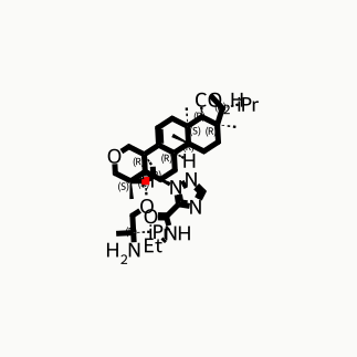 CCNC(=O)c1ncnn1[C@@H]1C[C@@]23COC[C@](C)([C@@H]2CC[C@H]2C3=CC[C@@]3(C)[C@H](C(=O)O)[C@@](C)([C@H](C)C(C)C)CC[C@]23C)[C@H]1OC[C@](C)(N)C(C)C